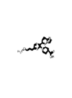 COCCCc1cnc(-c2ccc3nccn3n2)c(N2CCC(C(=O)O)CC2)n1